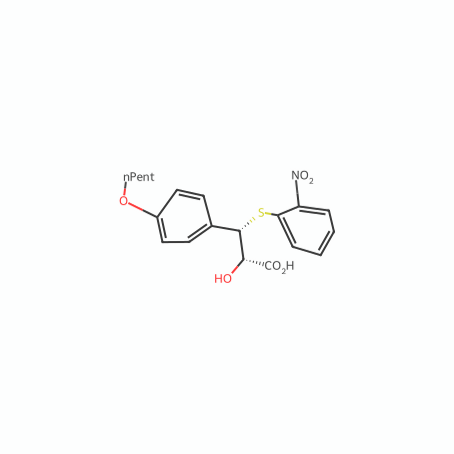 CCCCCOc1ccc([C@H](Sc2ccccc2[N+](=O)[O-])[C@@H](O)C(=O)O)cc1